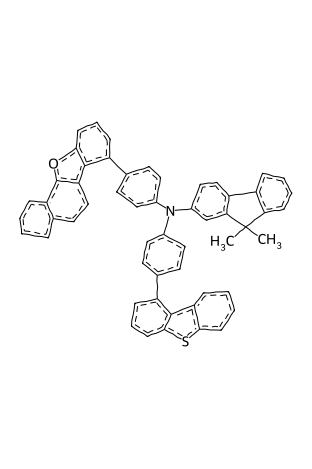 CC1(C)c2ccccc2-c2ccc(N(c3ccc(-c4cccc5oc6c7ccccc7ccc6c45)cc3)c3ccc(-c4cccc5sc6ccccc6c45)cc3)cc21